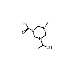 CCC(C)C(=O)N1CN(C(C)=O)CN(C(C)O)C1